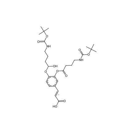 CC(C)(C)OC(=O)NCCCC(=O)Oc1cc(/C=C/C(=O)O)ccc1OC(O)CCCNC(=O)OC(C)(C)C